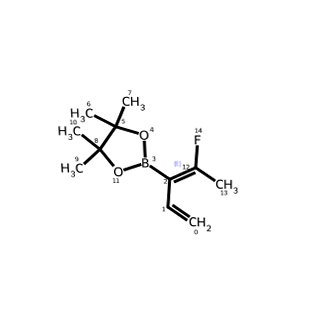 C=C/C(B1OC(C)(C)C(C)(C)O1)=C(\C)F